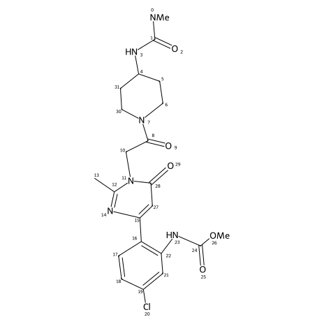 CNC(=O)NC1CCN(C(=O)Cn2c(C)nc(-c3ccc(Cl)cc3NC(=O)OC)cc2=O)CC1